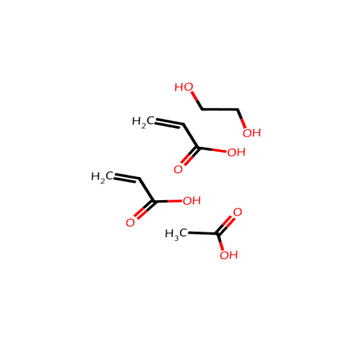 C=CC(=O)O.C=CC(=O)O.CC(=O)O.OCCO